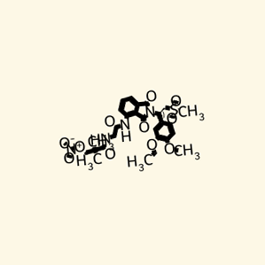 CCOc1cc([C@@H](CS(C)(=O)=O)N2C(=O)c3cccc(NC(=O)CNC(=O)C(C)(C)CO[N+](=O)[O-])c3C2=O)ccc1OC